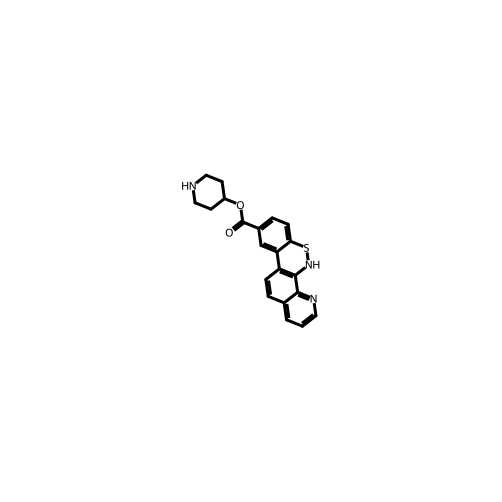 O=C(OC1CCNCC1)c1ccc2c(c1)-c1ccc3cccnc3c1NS2